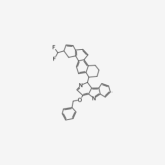 FC(F)C1C=Cc2ccc3c4c(ccc3c2C1)C(C1N=CC(OCc2ccccc2)=C2N=c3c[c]ccc3=C21)CCC4